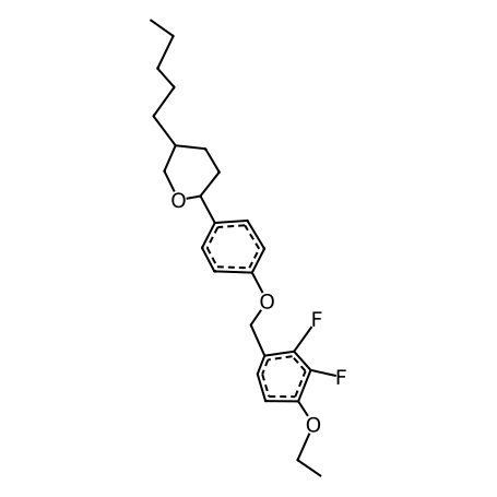 CCCCCC1CCC(c2ccc(OCc3ccc(OCC)c(F)c3F)cc2)OC1